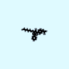 CCCCCCCCNC(C)C(OC(=O)C1CCCCC1)c1ccc(SC(C)C)cc1